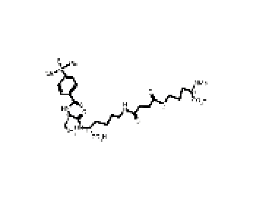 CN[C@H](CCCNC(=O)CCC(=O)NCCCC[C@@H](NC(=O)[C@@H](CN)NC(=O)c1ccc([Si](F)(C(C)(C)C)C(C)(C)C)cc1)C(=O)O)C(=O)O